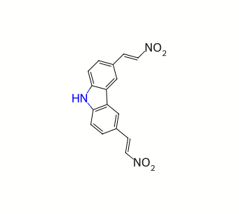 O=[N+]([O-])C=Cc1ccc2[nH]c3ccc(C=C[N+](=O)[O-])cc3c2c1